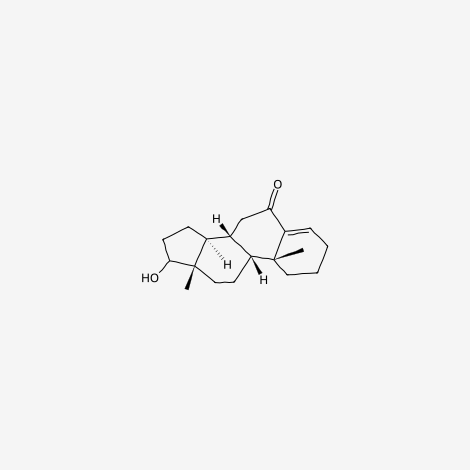 C[C@]12CCCC=C1C(=O)C[C@@H]1[C@H]2CC[C@]2(C)C(O)CC[C@@H]12